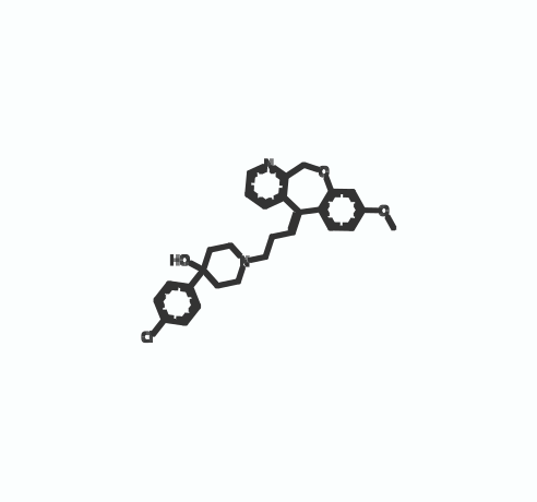 COc1ccc2c(c1)OCc1ncccc1/C2=C\CCN1CCC(O)(c2ccc(Cl)cc2)CC1